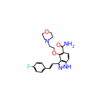 NC(=O)c1ccc2[nH]nc(C=Cc3ccc(F)cc3)c2c1OCCN1CCOCC1